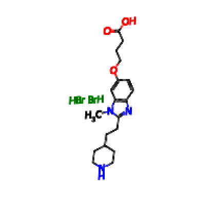 Br.Br.Cn1c(CCC2CCNCC2)nc2ccc(OCCCC(=O)O)cc21